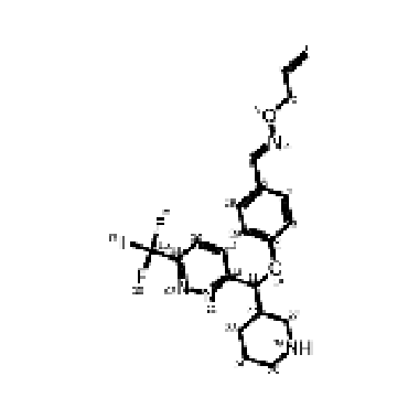 C=CCON=Cc1ccc(OC(c2ccc(C(F)(F)F)nn2)C2CCCNC2)cc1